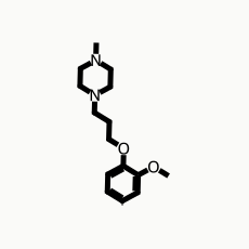 COc1c[c]ccc1OCCCN1CCN(C)CC1